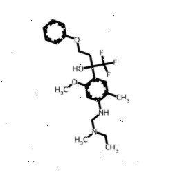 CCN(C)CNc1cc(OC)c(C(O)(CCOc2ccccc2)C(F)(F)F)cc1C